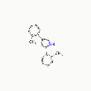 Cc1ccccc1-c1c[nH]c(-c2ccccc2C)c1